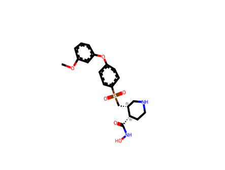 COc1cccc(Oc2ccc(S(=O)(=O)C[C@@H]3CNCC[C@@H]3C(=O)NO)cc2)c1